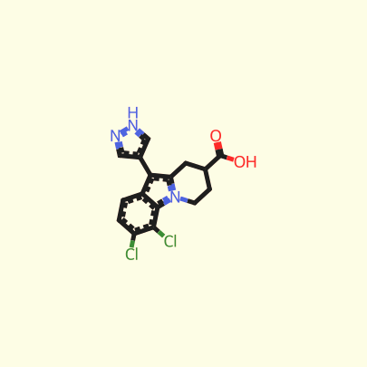 O=C(O)C1CCn2c(c(-c3cn[nH]c3)c3ccc(Cl)c(Cl)c32)C1